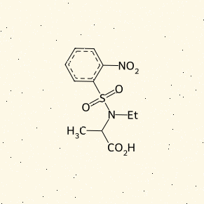 CCN(C(C)C(=O)O)S(=O)(=O)c1ccccc1[N+](=O)[O-]